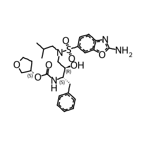 CC(C)CN(C[C@@H](O)[C@H](Cc1ccccc1)NC(=O)O[C@H]1CCOC1)S(=O)(=O)c1ccc2nc(N)oc2c1